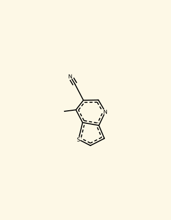 Cc1c(C#N)cnc2ccsc12